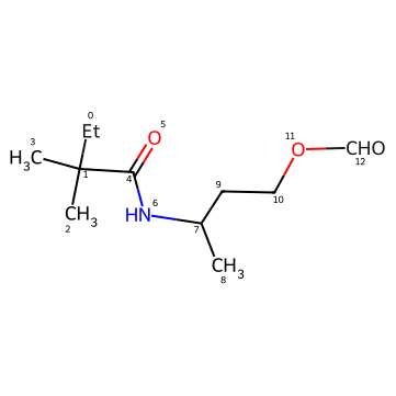 CCC(C)(C)C(=O)NC(C)CCOC=O